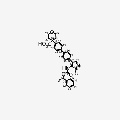 C[C@@H](OC(=O)Nc1c(-c2ccc(-c3ccc(C4(C(=O)O)CCOCC4)cc3)cc2)cnn1C)c1ccccc1